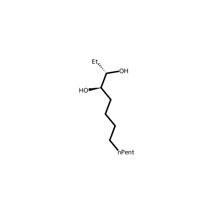 CCCCCCCCC[C@@H](O)[C@@H](O)CC